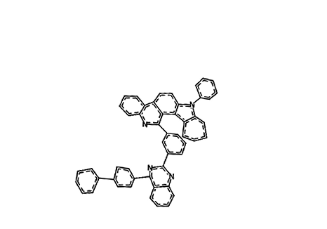 c1ccc(-c2ccc(-c3nc(-c4cccc(-c5nc6ccccc6c6ccc7c(c8ccccc8n7-c7ccccc7)c56)c4)nc4ccccc34)cc2)cc1